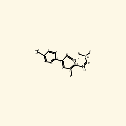 Cc1cc(-c2ccc(Cl)cc2)cnc1/N=C\N(C)C